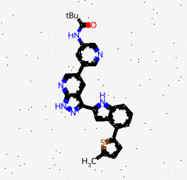 Cc1ccc(-c2cccc3[nH]c(-c4n[nH]c5ncc(-c6cncc(NC(=O)C(C)(C)C)c6)cc45)cc23)s1